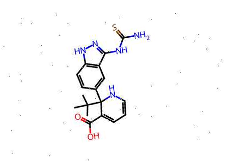 CC(C)(C)C1(c2ccc3[nH]nc(NC(N)=S)c3c2)NC=CC=C1C(=O)O